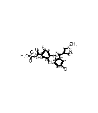 Cn1cc(-c2nn(-c3cc(F)c(C(=O)NS(C)(=O)=O)cc3Cl)c3ccc(Cl)cc23)cn1